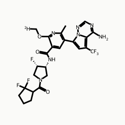 [2H]COc1nc(C)c(-c2cc(C(F)(F)F)c3c(N)ncnn23)cc1C(=O)N[C@@H]1CN(C(=O)C2CCCC2(F)F)C[C@@H]1F